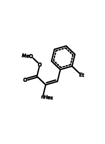 CCCCCCC(=Cc1ccccc1CC)C(=O)OOC